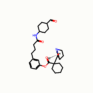 O=CC1CCC(NC(=O)CCCc2cccc(OC(=O)C3([C@@H]4CN5CCC4CC5)CCCCC3)c2)CC1